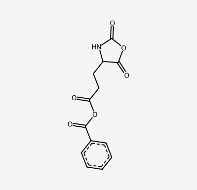 O=C(CCC1NC(=O)OC1=O)OC(=O)c1ccccc1